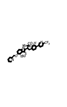 CCC(CC)(C(=O)O)C(Cc1ccc(-c2ccc(C(F)(F)F)nc2)cc1)c1[nH]c2ccc(OCc3ccccn3)cc2c1SC(C)(C)C